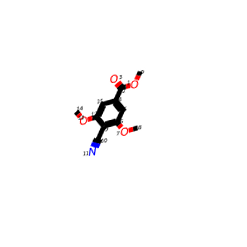 COC(=O)c1cc(OC)c(C#N)c(OC)c1